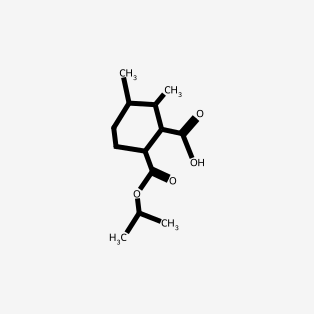 CC(C)OC(=O)C1CCC(C)C(C)C1C(=O)O